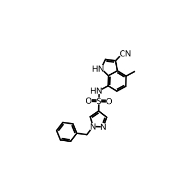 Cc1ccc(NS(=O)(=O)c2cnn(Cc3ccccc3)c2)c2[nH]cc(C#N)c12